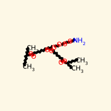 CCCCCCC(CCCC)COC(=O)CCCCCCCOCC(COCCOCCOCCOCCN)OCCCCCCCC(=O)OCC(CCCC)CCCCCC